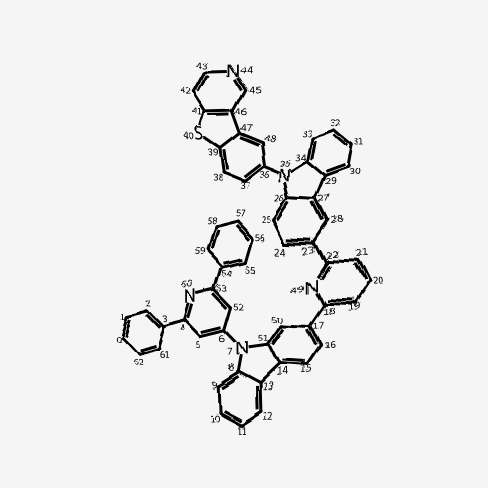 c1ccc(-c2cc(-n3c4ccccc4c4ccc(-c5cccc(-c6ccc7c(c6)c6ccccc6n7-c6ccc7sc8ccncc8c7c6)n5)cc43)cc(-c3ccccc3)n2)cc1